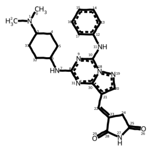 CN(C)C1CCC(Nc2nc(Nc3ccccc3)n3ncc(/C=C4\CC(=O)NC4=O)c3n2)CC1